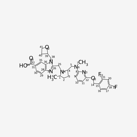 CC1CCC(CN(C)c2cccc(OCc3ccc(F)cc3F)n2)N1Cc1nc2ccc(C(=O)O)cc2n1CC1CCO1